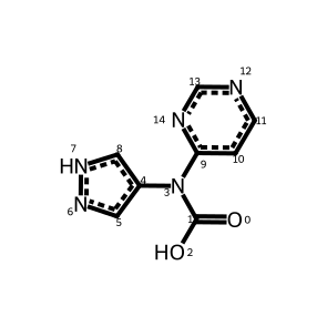 O=C(O)N(c1cn[nH]c1)c1ccncn1